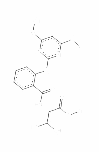 COC(=O)[C@@H](NC(=O)c1ccccc1Oc1nc(OC)cc(OC)n1)C(C)C